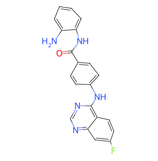 Nc1ccccc1NC(=O)c1ccc(Nc2ncnc3cc(F)ccc23)cc1